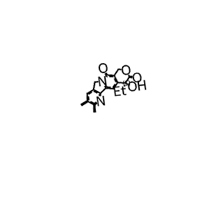 C=c1cc2c(nc1=C)-c1cc3c(c(=O)n1C2)COC(=O)[C@]3(O)CC